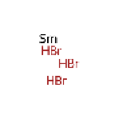 Br.Br.Br.[Sm]